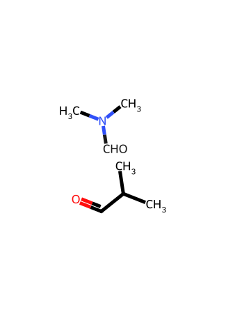 CC(C)C=O.CN(C)C=O